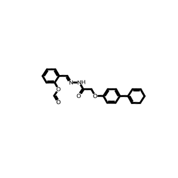 O=COc1ccccc1/C=N/NC(=O)COc1ccc(C2=CCCC=C2)cc1